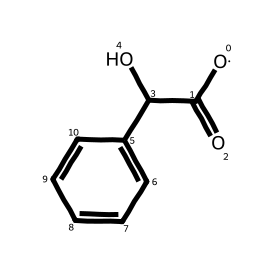 [O]C(=O)C(O)c1ccccc1